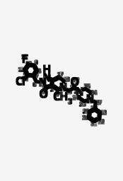 CC1=c2c([nH]n(Cc3ccc(F)cc3Cl)c2=O)=CCN1CC(=O)N1CCN(Cc2ccccc2)CC1